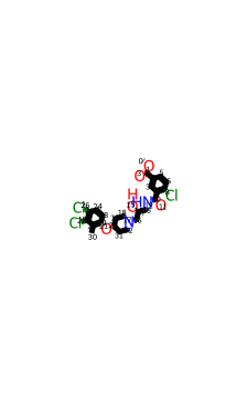 COC(=O)c1ccc(Cl)c(C(=O)NC[C@@H](O)CN2CCC(Oc3ccc(Cl)c(Cl)c3C)CC2)c1